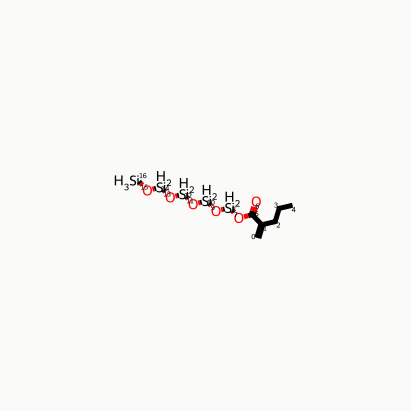 C=C(CCC)C(=O)O[SiH2]O[SiH2]O[SiH2]O[SiH2]O[SiH3]